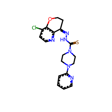 S=C(N/N=C1/CCOc2c(Cl)ccnc21)N1CCN(c2ccccn2)CC1